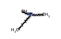 CCCCCCCCCCCCCCCCc1n(CCCCCCCCCC)cc[n+]1CCCCCC